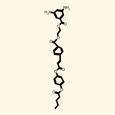 CCCCC(=O)Oc1ccc(OC(=O)/C=C/c2ccc(C(=O)OCCOC(=O)c3cc(N)cc(N)c3)cc2)cc1